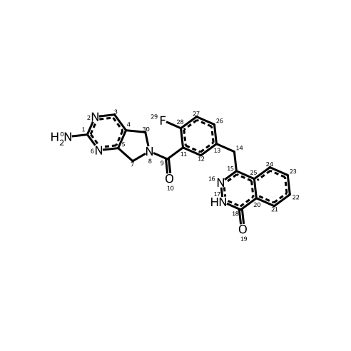 Nc1ncc2c(n1)CN(C(=O)c1cc(Cc3n[nH]c(=O)c4ccccc34)ccc1F)C2